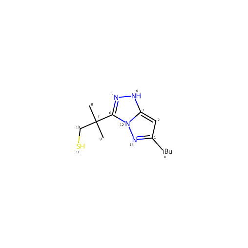 CCC(C)c1cc2[nH]nc(C(C)(C)CS)n2n1